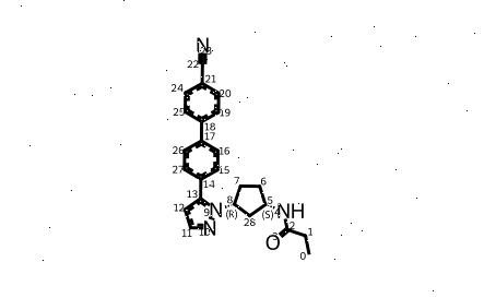 CCC(=O)N[C@H]1CC[C@@H](n2nccc2-c2ccc(-c3ccc(C#N)cc3)cc2)C1